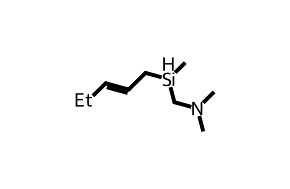 CCC=CC[SiH](C)CN(C)C